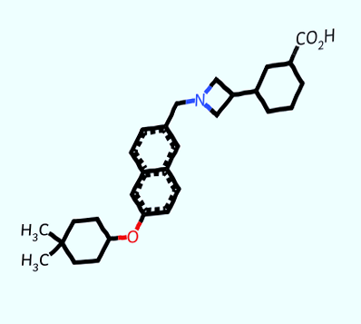 CC1(C)CCC(Oc2ccc3cc(CN4CC(C5CCCC(C(=O)O)C5)C4)ccc3c2)CC1